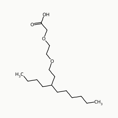 CCCCCCC(CCCC)CCOCCOCC(=O)O